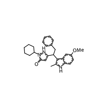 COc1ccc2[nH]c(C)c(C(Cc3ccccc3)c3cc(=O)n(C4CCCCC4)[nH]3)c2c1